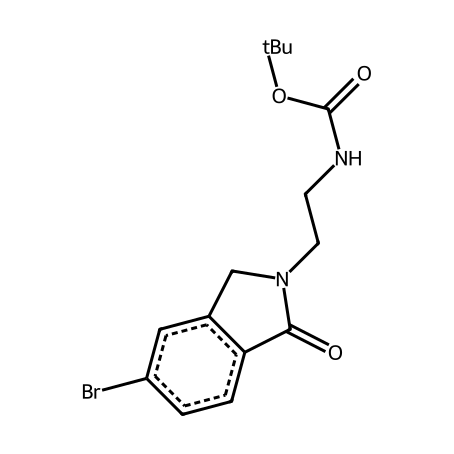 CC(C)(C)OC(=O)NCCN1Cc2cc(Br)ccc2C1=O